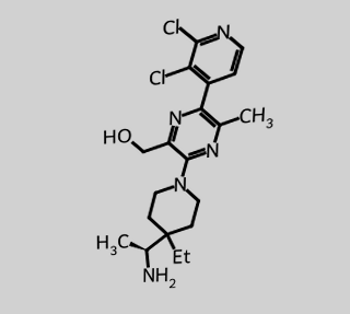 CCC1([C@H](C)N)CCN(c2nc(C)c(-c3ccnc(Cl)c3Cl)nc2CO)CC1